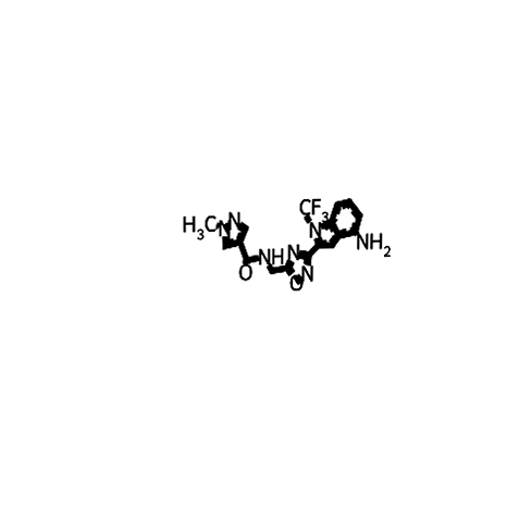 Cn1cc(C(=O)NCc2nc(-c3cc4c(N)cccc4n3CC(F)(F)F)no2)cn1